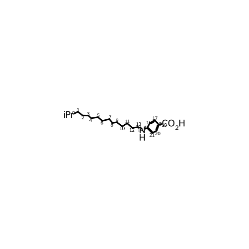 CC(C)CCCCCCCCCCCCCNc1ccc(C(=O)O)cc1